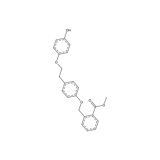 COC(=O)c1ccccc1COc1ccc(CCOc2ccc(O)cc2)cc1